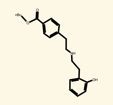 CCCCOC(=O)c1ccc(CCNCCc2ccccc2O)cc1